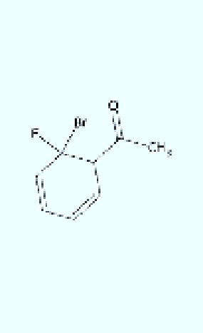 CC(=O)C1C=CC=CC1(F)Br